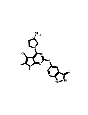 CCc1[nH]c2nc(Sc3cnc4[nH][nH]c(=O)c4c3)nc(N3CC[C@@H](N)C3)c2c1Cl